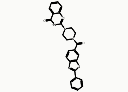 O=C(c1ccc2nc(-c3ccccc3)sc2c1)N1CCN(c2nc3ccccc3c(=O)[nH]2)CC1